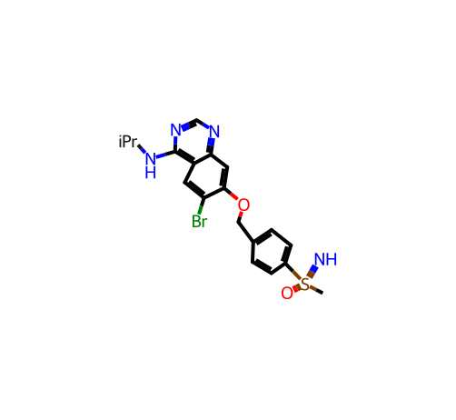 CC(C)Nc1ncnc2cc(OCc3ccc(S(C)(=N)=O)cc3)c(Br)cc12